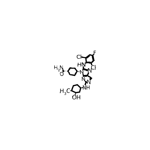 C[C@@H]1CC[C@@H](Nc2ncc3nc(Nc4c(Cl)cc(F)cc4Cl)n([C@H]4CC[C@@H](C(N)=O)CC4)c3n2)C[C@H]1O